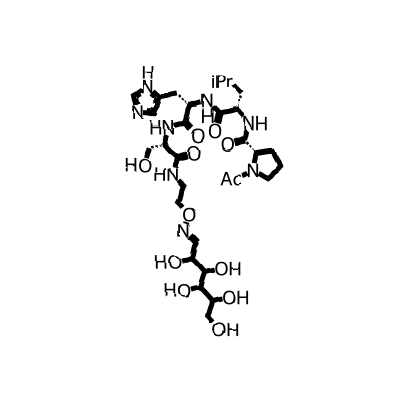 CC(=O)N1CCC[C@H]1C(=O)N[C@@H](CC(C)C)C(=O)N[C@@H](Cc1cnc[nH]1)C(=O)N[C@@H](CO)C(=O)NCCO/N=C/C(O)C(O)C(O)C(O)CO